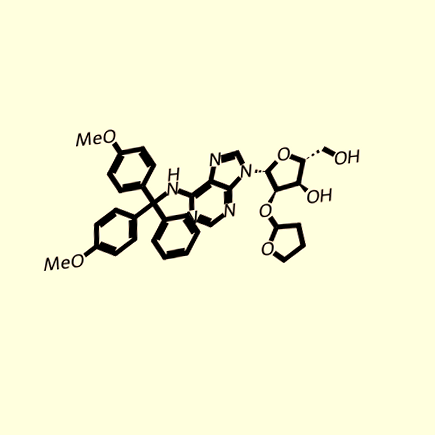 COc1ccc(C(Nc2ncnc3c2ncn3[C@@H]2O[C@H](CO)[C@@H](O)[C@H]2OC2CCCO2)(c2ccccc2)c2ccc(OC)cc2)cc1